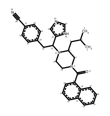 CC(C)CC1CN(C(=O)c2cccc3ccccc23)CCN1C(Cc1ccc(C#N)cc1)c1cnc[nH]1